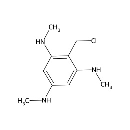 CNc1cc(NC)c(CCl)c(NC)c1